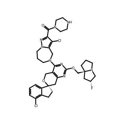 O=C(c1nn2c(c1Cl)CN(c1nc(OC[C@@]34CCCN3C[C@H](F)C4)nc3c1CO[C@@]1(CCc4c(Cl)cccc41)C3)CCC2)N1CCNCC1